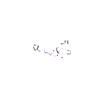 O=C(CCNCc1ccccc1)N1CCC2=C(C1)C(=O)N(Cc1ccco1)C(SC1CCC1)N2OC(=O)C(F)(F)F